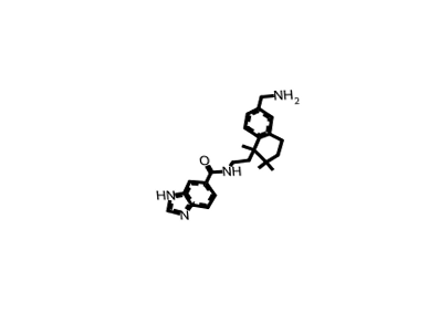 CC1(C)CCc2cc(CN)ccc2C1(C)CCNC(=O)c1ccc2nc[nH]c2c1